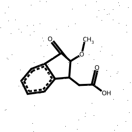 COC1C(=O)c2ccccc2C1CC(=O)O